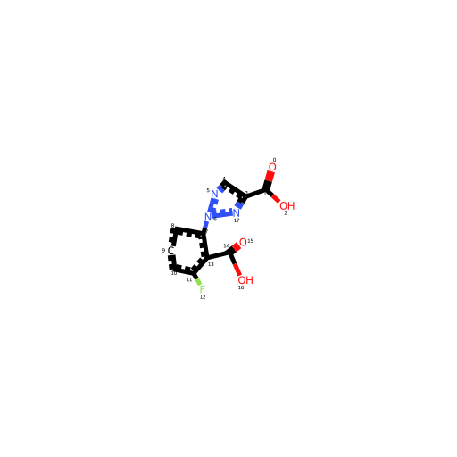 O=C(O)c1cnn(-c2cccc(F)c2C(=O)O)n1